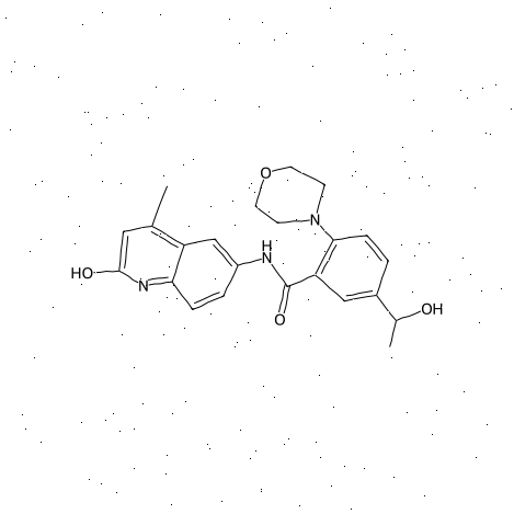 Cc1cc(O)nc2ccc(NC(=O)c3cc(C(C)O)ccc3N3CCOCC3)cc12